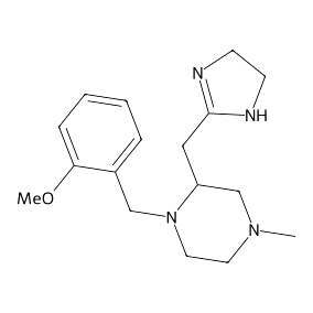 COc1ccccc1CN1CCN(C)CC1CC1=NCCN1